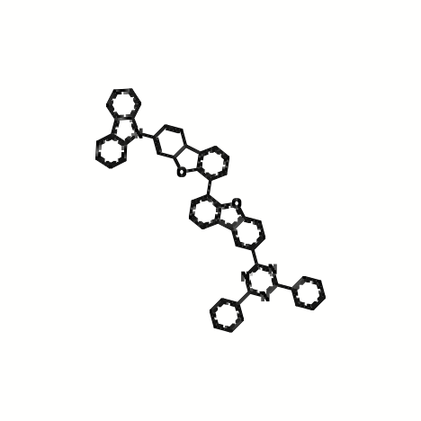 C1=CC2c3cccc(-c4cccc5c4oc4ccc(-c6nc(-c7ccccc7)nc(-c7ccccc7)n6)cc45)c3OC2C=C1n1c2ccccc2c2ccccc21